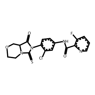 O=C(Nc1ccc(N2C(=O)C3COCCN3C2=S)c(Cl)c1)c1ncccc1F